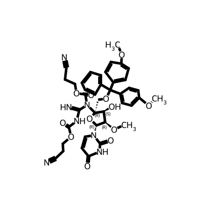 COc1ccc(C(OC[C@@]2(N(C(=N)NC(=O)OCCC#N)C(=O)OCCC#N)O[C@@H](n3ccc(=O)[nH]c3=O)[C@H](OC)[C@@H]2O)(c2ccccc2)c2ccc(OC)cc2)cc1